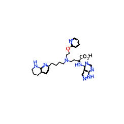 O=C(O)[C@H](CCN(CCCCc1ccc2c(n1)NCCC2)CCOc1ccccn1)Nc1ncnc2[nH]ncc12